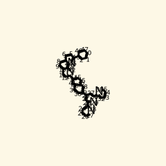 c1ccc(-c2ccc3ccc4ccc(-c5ccc6cc(-c7cc(-c8ccccn8)nc(-c8ccccn8)c7)ccc6c5)nc4c3n2)cc1